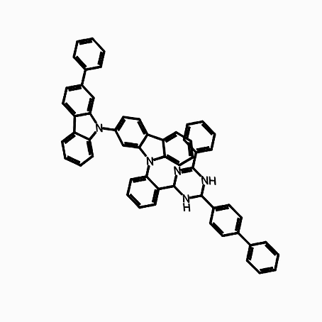 c1ccc(C2=NC(c3ccccc3-n3c4ccccc4c4ccc(-n5c6ccccc6c6ccc(-c7ccccc7)cc65)cc43)NC(c3ccc(-c4ccccc4)cc3)N2)cc1